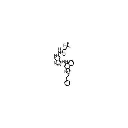 O=C(C=CC(F)(F)F)Nc1cc2c(Nc3cc4nn(CCc5ccccc5)cc4c4ccccc34)ncnc2cn1